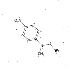 CC(C)CN(C)c1ccc([N+](=O)[O-])cc1